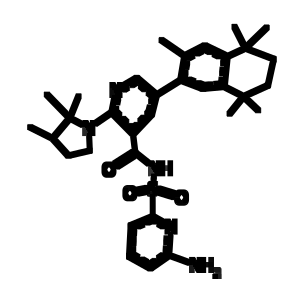 Cc1cc2c(cc1-c1cnc(N3CCC(C)C3(C)C)c(C(=O)NS(=O)(=O)c3cccc(N)n3)c1)C(C)(C)CCC2(C)C